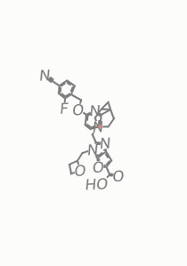 N#Cc1ccc(COc2cccc(C34CCN(Cc5nc6cc(C(=O)O)oc6n5CC5CCO5)CC3C4)n2)c(F)c1